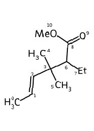 CC=CC(C)(C)C(CC)C(=O)OC